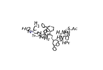 CCC[C@@H](NC(=O)[C@]1(N)CSC(C(C)=O)=N1)c1cc(CC[C@@H](NC(=O)[C@]2(N)CSC(/C(C)=N/O)=N2)c2cccc(=O)o2)cc(=O)o1